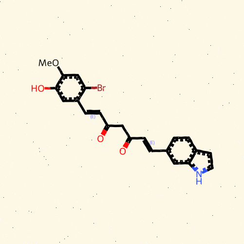 COc1cc(Br)c(/C=C/C(=O)CC(=O)/C=C/c2ccc3cc[nH]c3c2)cc1O